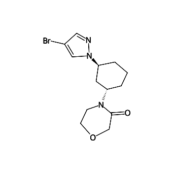 O=C1COCCN1[C@H]1CCC[C@H](n2cc(Br)cn2)C1